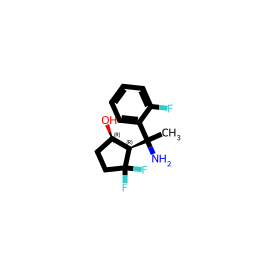 CC(N)(c1ccccc1F)[C@@H]1[C@H](O)CCC1(F)F